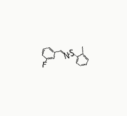 Cc1ccccc1S/N=C/c1cccc(F)c1